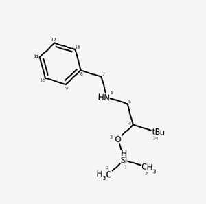 C[SiH](C)OC(CNCc1ccccc1)C(C)(C)C